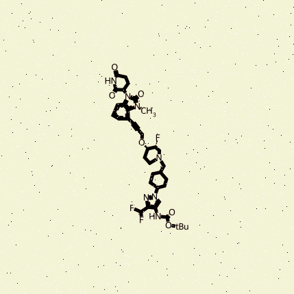 Cn1c(=O)n(C2CCC(=O)NC2=O)c2cccc(C#CCO[C@@H]3CCN(CC4CCC(n5cc(NC(=O)OC(C)(C)C)c(C(F)F)n5)CC4)C[C@H]3F)c21